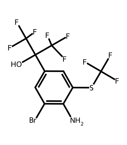 Nc1c(Br)cc(C(O)(C(F)(F)F)C(F)(F)F)cc1SC(F)(F)F